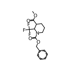 COC(=O)C1CCCN(C(=O)OCc2ccccc2)C1C(F)(F)F